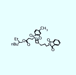 CCCC[C@@H](CC)COC(=O)CCS(=O)(=O)c1ccc(C)cc1O[C@@H]1CC[C@@H]1CCCN1C(=O)c2ccccc2C1=O